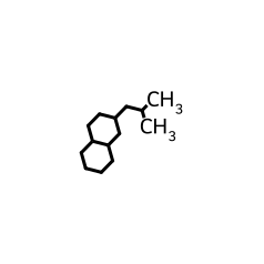 CC(C)CC1CCC2CCCCC2C1